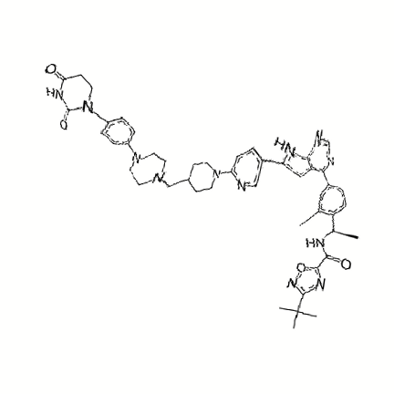 Cc1cc(-c2ncnc3[nH]c(-c4ccc(N5CCC(CN6CCN(c7ccc(N8CCC(=O)NC8=O)cc7)CC6)CC5)nc4)cc23)ccc1[C@@H](C)NC(=O)c1nc(C(C)(C)C)no1